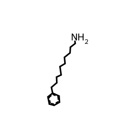 NCCCCCCCCCCc1ccccc1